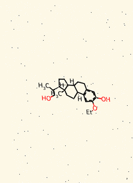 CCOc1cc2c(cc1O)CC[C@@H]1[C@@H]2CC[C@]2(C)[C@@H](C(C)CO)CC[C@@H]12